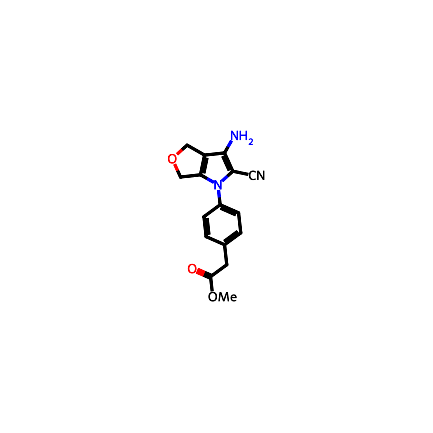 COC(=O)Cc1ccc(-n2c(C#N)c(N)c3c2COC3)cc1